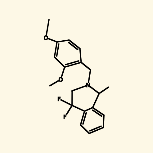 COc1ccc(CN2CC(F)(F)c3ccccc3C2C)c(OC)c1